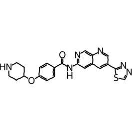 O=C(Nc1cc2cc(-c3nncs3)cnc2cn1)c1ccc(OC2CCNCC2)cc1